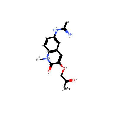 CNC(=O)COc1cc2cc(NC(C)=N)ccc2n(C(C)C)c1=O